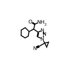 N#CC1(n2cc([C](C(N)=O)C3CCCCC3)nn2)CC1